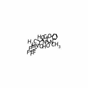 CCC(C(=O)NCC(F)(F)C(F)(F)F)C(=O)N[C@@H]1C(=O)N(C)c2ccccc2O[C@@H]1C